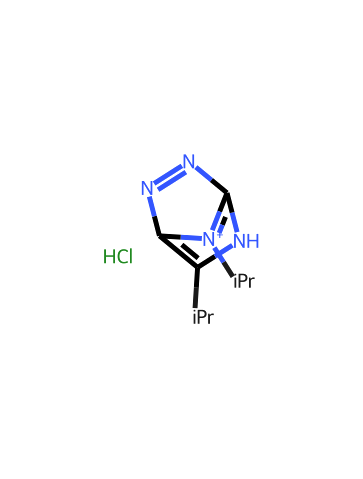 CC(C)c1[nH]c2[n+](C(C)C)c1N=N2.Cl